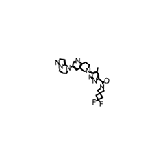 Cc1cc(C(=O)N2CC3(C2)CC(F)(F)C3)nnc1N1CCc2ncc(N3CCCn4nccc43)cc2C1